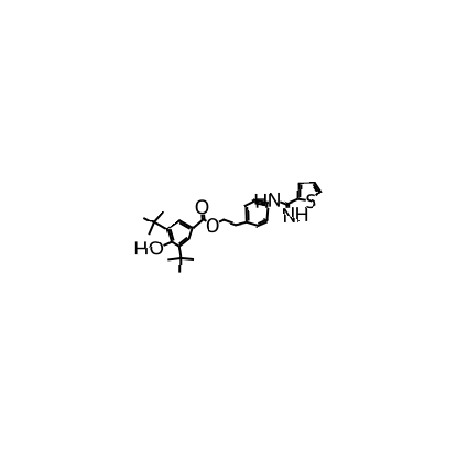 CC(C)(C)c1cc(C(=O)OCCc2ccc(NC(=N)c3cccs3)cc2)cc(C(C)(C)C)c1O